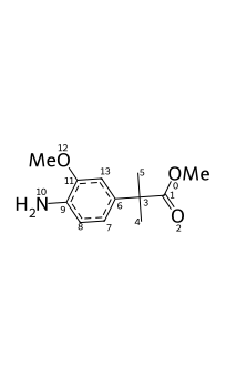 COC(=O)C(C)(C)c1ccc(N)c(OC)c1